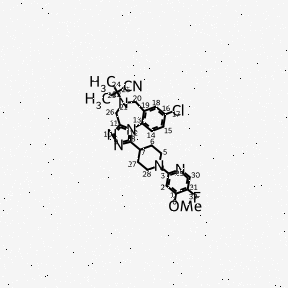 COc1cc(N2CCC(c3nnc4n3-c3ccc(Cl)cc3CN(C(C)(C)C#N)C4)CC2)ncc1F